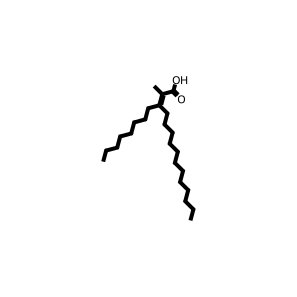 CCCCCCCCCCCC/C(CCCCCCCC)=C(/C)C(=O)O